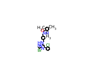 Cc1cc(C)c(C(=O)NCc2ccc(CNc3cc(-c4ccccc4Cl)nc4c(Br)cnn34)cc2)c(C)c1